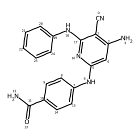 N#Cc1c(N)cc(Nc2ccc(C(N)=O)cc2)nc1Nc1ccccc1